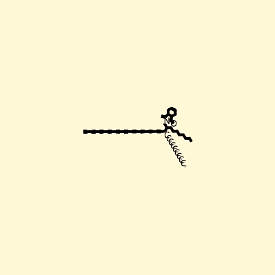 C#CC#CC#CC#CC#CC#CC#CC#CC#CC#CC(=C=C=C=C=C=C=C=C=C=C)C(CCCCCCCC)CN1C(=C)C2CC=CCC2C1=O